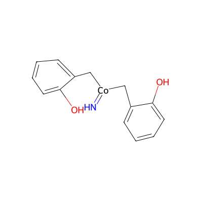 [NH]=[Co]([CH2]c1ccccc1O)[CH2]c1ccccc1O